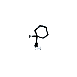 C#CC1(F)CCCCC1